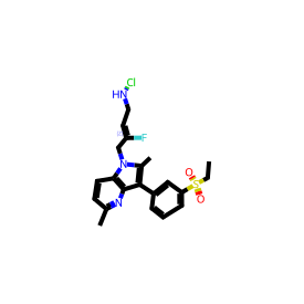 CCS(=O)(=O)c1cccc(-c2c(C)n(C/C(F)=C/CNCl)c3ccc(C)nc23)c1